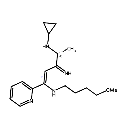 COCCCCN/C(=C\C(=N)[C@@H](C)NC1CC1)c1ccccn1